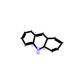 C1=CCC2=CC3C=CC=CC3NC2=C1